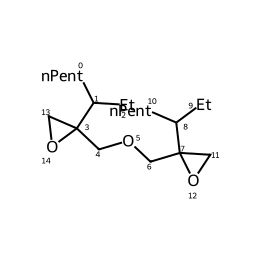 CCCCCC(CC)C1(COCC2(C(CC)CCCCC)CO2)CO1